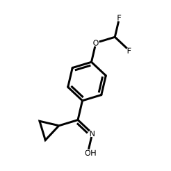 ON=C(c1ccc(OC(F)F)cc1)C1CC1